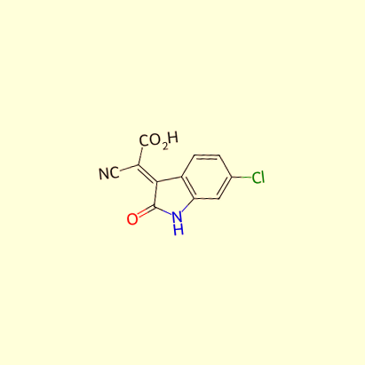 N#CC(C(=O)O)=C1C(=O)Nc2cc(Cl)ccc21